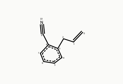 C=CCc1[c]cccc1C#N